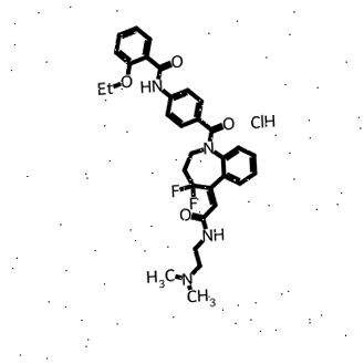 CCOc1ccccc1C(=O)Nc1ccc(C(=O)N2CCC(F)(F)C(=CC(=O)NCCN(C)C)c3ccccc32)cc1.Cl